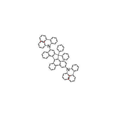 c1ccc(-c2ccccc2N(c2ccccc2)c2ccc3c4c(c5ccccc5c3c2)-c2c(cc(N(c3ccccc3)c3ccccc3-c3ccccc3)c3ccccc23)C4(c2ccccc2)c2ccccc2)cc1